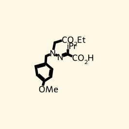 CCOC(=O)CN(Cc1ccc(OC)cc1)N=C(C(=O)O)C(C)C